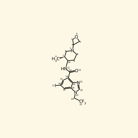 C[C@H]1CN(C2COC2)CCC1NC(=O)c1cc(I)cc2c1ncn2CC(F)(F)F